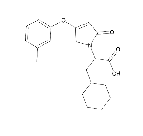 Cc1cccc(OC2=CC(=O)N(C(CC3CCCCC3)C(=O)O)C2)c1